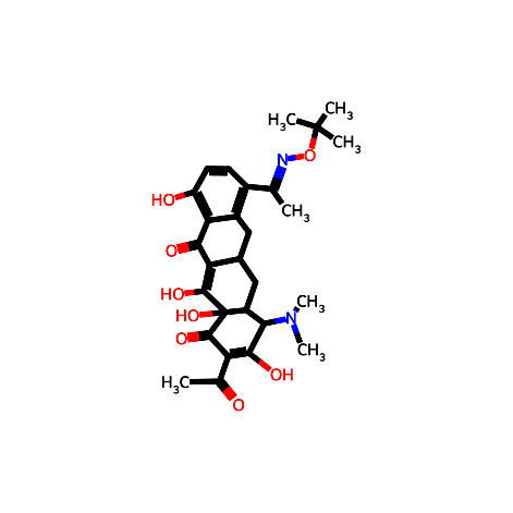 CC(=O)C1=C(O)C(N(C)C)C2CC3Cc4c(/C(C)=N/OC(C)(C)C)ccc(O)c4C(=O)C3=C(O)C2(O)C1=O